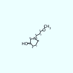 COCCCN1CCCC(O)C1